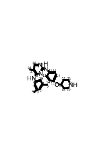 Cc1cc(C)cc(Nc2nc(Nc3ccc(OC4CCNCC4)cc3)ncc2C)c1